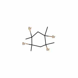 CC1(Br)CC(C)(Br)C(C)(Br)CC1(C)Br